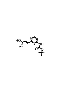 COC(O)/C=C/c1nccc(NC(=O)OC(C)(C)C)n1